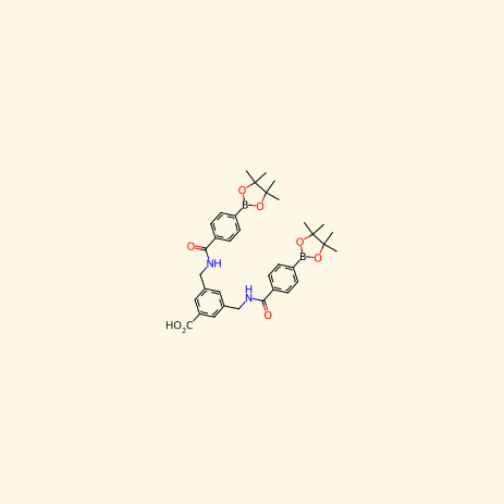 CC1(C)OB(c2ccc(C(=O)NCc3cc(CNC(=O)c4ccc(B5OC(C)(C)C(C)(C)O5)cc4)cc(C(=O)O)c3)cc2)OC1(C)C